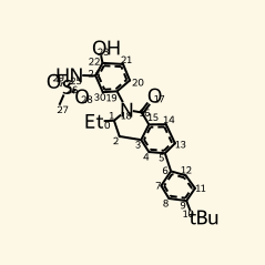 CCC1Cc2cc(-c3ccc(C(C)(C)C)cc3)ccc2C(=O)N1c1ccc(O)c(NS(C)(=O)=O)c1